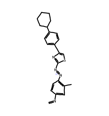 C=Nc1ccc(/N=N/c2nc(-c3ccc(C4CCCCC4)cc3)cs2)c(C)c1